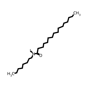 CCCCCCCCCCCCCCCC(=O)N(I)CCCCCCCC